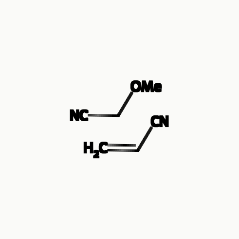 C=CC#N.COCC#N